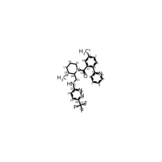 Cc1ccc(-c2ccccn2)c(C(=O)N2CCC[C@@H](C)C2CNc2ccc(C(F)(F)F)nn2)c1